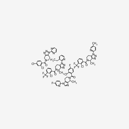 CC1c2ncn(-c3ccc(F)cn3)c2CCN1C(=O)c1ccc(F)cc1Cl.CCc1cccnc1-n1nnc2c1CCN(C(=O)c1cccc(C(F)(F)F)c1Cl)[C@@H]2C.Cc1ccc(-n2nnc3c2CCN(C(=O)c2cccc(C(F)(F)F)c2Cl)C3C)nc1.O=C(c1ccc(Cl)cc1Cl)N1CCc2c(nnn2-c2ncccn2)C1